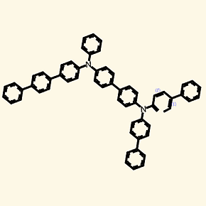 C=C(/C=C\C(=C/C)c1ccccc1)N(c1ccc(-c2ccccc2)cc1)c1ccc(-c2ccc(N(c3ccccc3)c3ccc(-c4ccc(-c5ccccc5)cc4)cc3)cc2)cc1